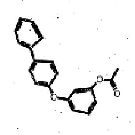 CC(=O)Oc1cccc(Oc2ccc(-c3[c]cccc3)cc2)c1